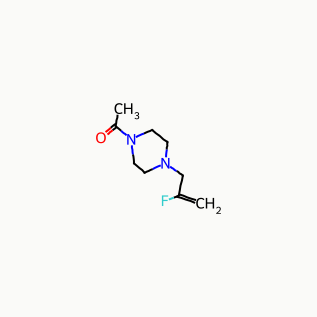 C=C(F)CN1CCN(C(C)=O)CC1